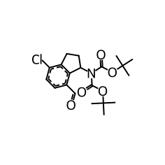 CC(C)(C)OC(=O)N(C(=O)OC(C)(C)C)C1CCc2c(Cl)ccc(C=O)c21